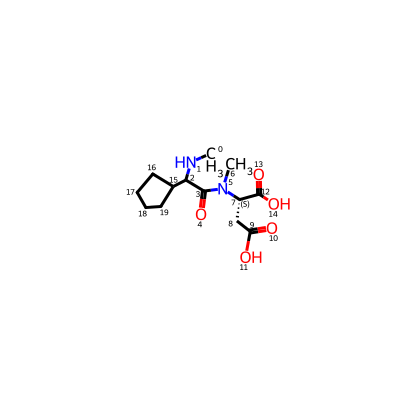 CNC(C(=O)N(C)[C@@H](CC(=O)O)C(=O)O)C1CCCC1